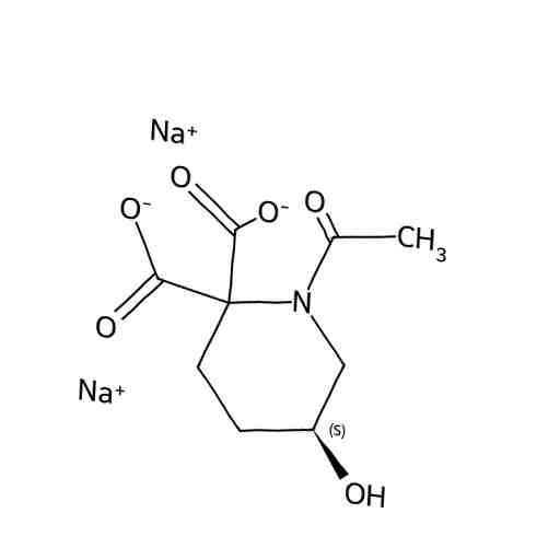 CC(=O)N1C[C@@H](O)CCC1(C(=O)[O-])C(=O)[O-].[Na+].[Na+]